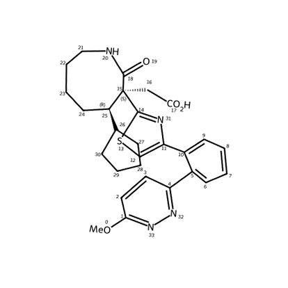 COc1ccc(-c2ccccc2-c2csc([C@]3(CC(=O)O)C(=O)NCCCC[C@@H]3C3CCCC3)n2)nn1